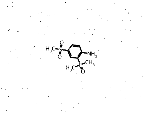 CP(C)(=O)c1cc(S(C)(=O)=O)ccc1N